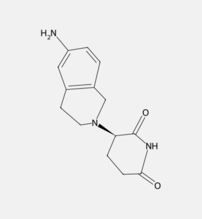 Nc1ccc2c(c1)CCN([C@@H]1CCC(=O)NC1=O)C2